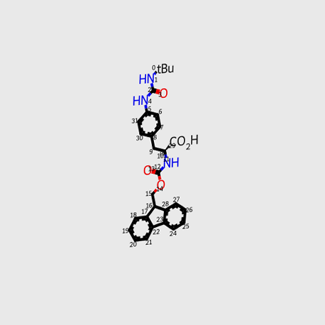 CC(C)(C)NC(=O)Nc1ccc(C[C@H](NC(=O)OCC2c3ccccc3-c3ccccc32)C(=O)O)cc1